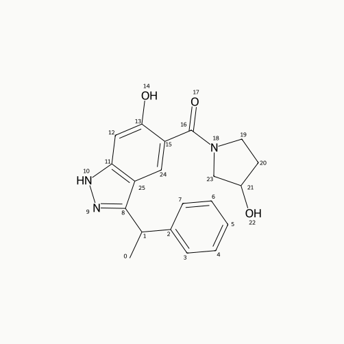 CC(c1ccccc1)c1n[nH]c2cc(O)c(C(=O)N3CCC(O)C3)cc12